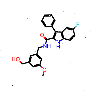 COc1cc(CO)cc(CNC(=O)c2[nH]c3ccc(F)cc3c2-c2ccccc2)c1